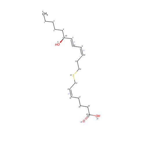 CCCCC[C@H](O)/C=C/C=C\CCSC/C=C\CCCC(=O)O